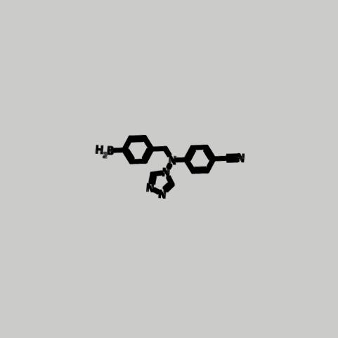 Bc1ccc(CN(c2ccc(C#N)cc2)n2cnnc2)cc1